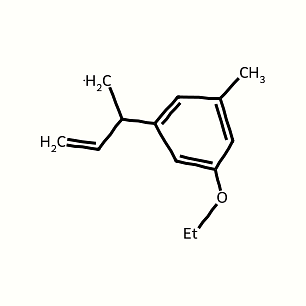 [CH2]C(C=C)c1cc(C)cc(OCC)c1